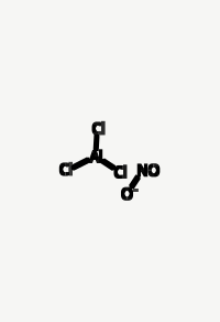 O=[NH+][O-].[Cl][Al]([Cl])[Cl]